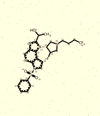 CC(O)c1nc2cnc3c(ccn3S(=O)(=O)c3ccccc3)c2n1[C@@H]1CN(CCCC(F)(F)F)CC1F